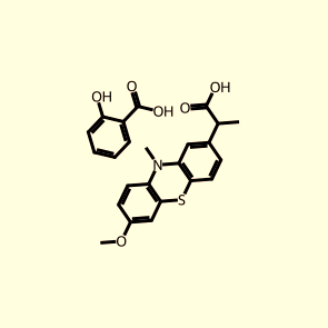 COc1ccc2c(c1)Sc1ccc(C(C)C(=O)O)cc1N2C.O=C(O)c1ccccc1O